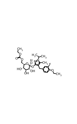 CCOC(=O)OC[C@H]1O[C@@](O)(Oc2nn(C(C)C)c(C)c2Cc2ccc(OCC)c(F)c2)[C@H](O)[C@@H](O)[C@@H]1O